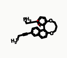 PCC#Cc1ccc2c3c(ccc2c1)OCCCOc1ccc2cc(CP)ccc2c1-3